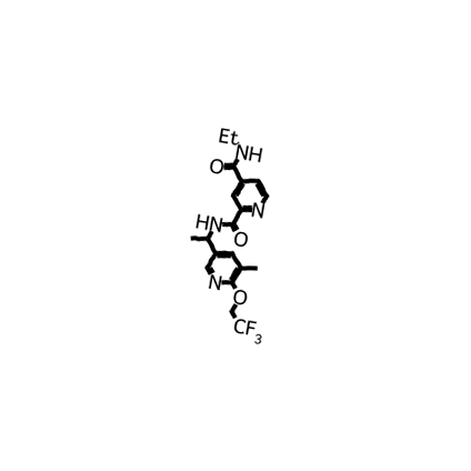 CCNC(=O)c1ccnc(C(=O)NC(C)c2cnc(OCC(F)(F)F)c(C)c2)c1